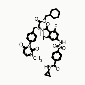 Cn1ccc(=O)n(-c2ccc(C[C@H](NC(=O)c3c(F)cc(NS(=O)(=O)c4ccc(C(=O)NC5CC5)cc4)cc3F)C(=O)OCC3CCCCC3)cc2)c1=O